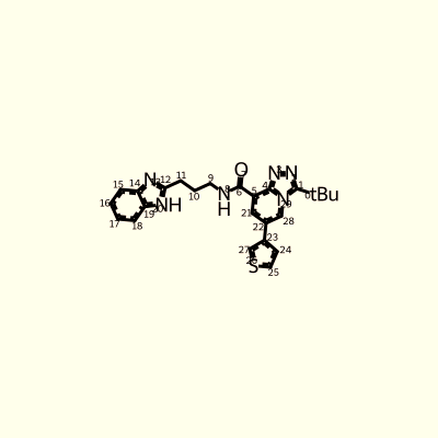 CC(C)(C)c1nnc2c(C(=O)NCCCc3nc4ccccc4[nH]3)cc(-c3ccsc3)cn12